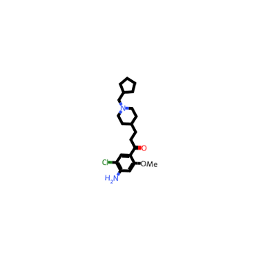 COc1cc(N)c(Cl)cc1C(=O)CCC1CCN(CC2CCCC2)CC1